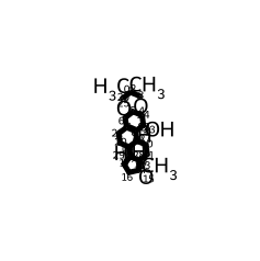 CC1(C)COC2(CC3=C([C@H]4CC[C@]5(C)C(=O)CC[C@H]5[C@@H]4CC3)[C@@H](O)C2)OC1